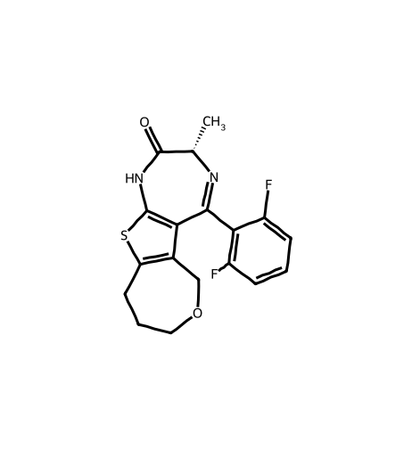 C[C@@H]1N=C(c2c(F)cccc2F)c2c(sc3c2COCCC3)NC1=O